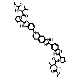 COC(=O)NC(C(=O)N1CCCC1c1nc2ccc(-c3nc4cc5c(cc4[nH]3)CN(c3ccc4nc(C6CCCN6C(=O)C(NC(=O)OC)C(C)C)[nH]c4c3)CC5)cc2[nH]1)C(C)C